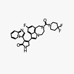 O=C1NCC(c2cn3c4c(cc(F)cc24)CN(C(=O)N2CCC(F)(F)CC2)CC3)=C1c1cnc2ccccn12